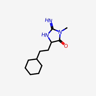 CN1C(=N)NC(CCC2CCCCC2)C1=O